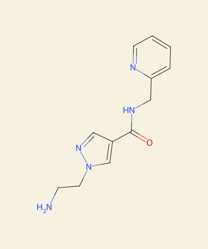 NCCn1cc(C(=O)NCc2ccccn2)cn1